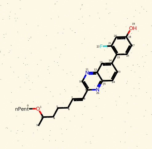 CCCCCOC(C)CCCC=Cc1cnc2cc(-c3ccc(O)cc3F)ccc2n1